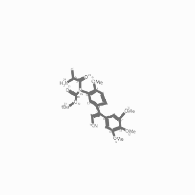 COc1ccc(C(=CC#N)c2cc(OC)c(OC)c(OC)c2)cc1N(C(=O)OC(C)(C)C)C(=O)C(C)N